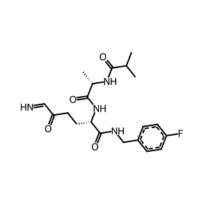 CC(C)C(=O)N[C@@H](C)C(=O)N[C@@H](CCC(=O)C=N)C(=O)NCc1ccc(F)cc1